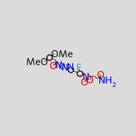 COc1ccc(OC)c(CC(=O)N2CCN(c3ccc(-c4ccc(N5CC(CCC(N)=O)OC5=O)cc4F)cn3)CC2)c1